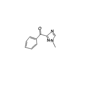 Cn1cnc(C(=O)c2ccccc2)n1